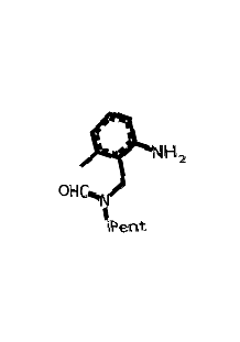 CCCC(C)N(C=O)Cc1c(C)cccc1N